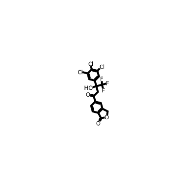 O=C(CC(O)(c1cc(Cl)c(Cl)c(Cl)c1)C(F)(F)F)c1ccc2c(c1)COC2=O